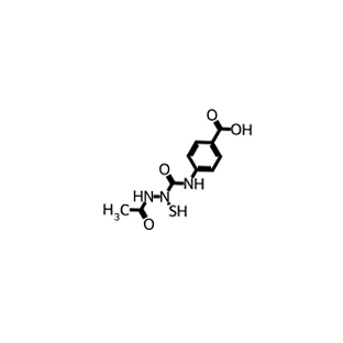 CC(=O)NN(S)C(=O)Nc1ccc(C(=O)O)cc1